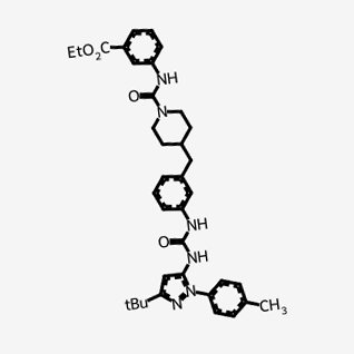 CCOC(=O)c1cccc(NC(=O)N2CCC(Cc3cccc(NC(=O)Nc4cc(C(C)(C)C)nn4-c4ccc(C)cc4)c3)CC2)c1